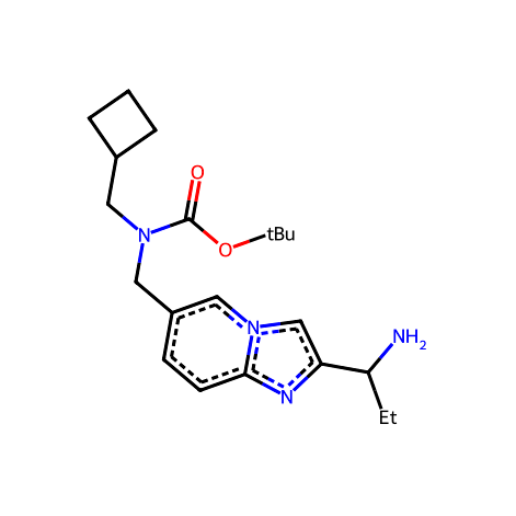 CCC(N)c1cn2cc(CN(CC3CCC3)C(=O)OC(C)(C)C)ccc2n1